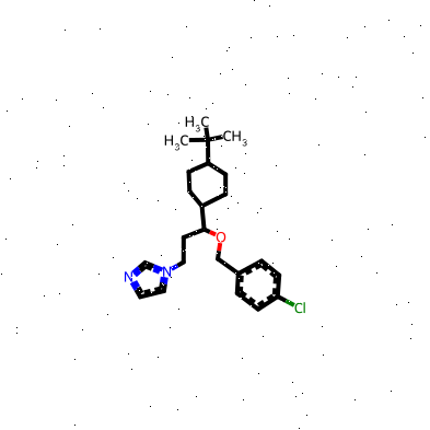 CC(C)(C)C1CCC(C(CCn2ccnc2)OCc2ccc(Cl)cc2)CC1